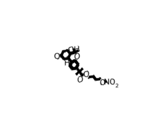 CC(C)(C(=O)OCCCCO[N+](=O)[O-])c1ccc2c(c1)OC(C)(C)[C@@]1(O)CCC(=O)C[C@H]21